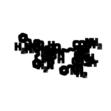 CC(C)C[C@@H](NC(=O)[C@H](N)Cc1ccccc1)C(=O)N[C@H](CCCN)C(=O)N[C@H](CCCCNC(=O)[C@@H](CCCN)NC(=O)[C@@H](CC(C)C)NC(=O)[C@@H](CCc1ccccc1)NC(=O)[C@H](N)Cc1ccccc1)C(=O)O